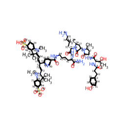 CC1C[C@H](NC(=O)[C@@H](NC(=O)CCc2ccc(O)cc2)[C@H](C)O)C(=O)N1[C@H]1CC(C)N([C@@H](CCCCN)C(=O)NC(CCCCNC(=O)c2ccc(C(=C\C=C3\N(C)c4ccc(S(=O)(=O)O)cc4C3(C)C)/C=C/C3=[N+](C)c4ccc(S(=O)(=O)[O-])cc4C3(C)C)nc2)C(N)=O)C1=O